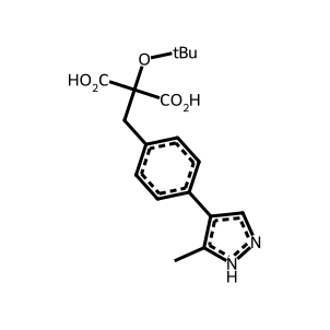 Cc1[nH]ncc1-c1ccc(CC(OC(C)(C)C)(C(=O)O)C(=O)O)cc1